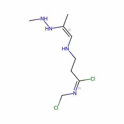 CNN/C(C)=C\NCC/C(Cl)=N\CCl